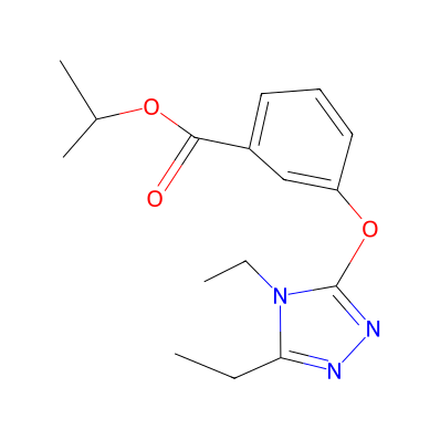 CCc1nnc(Oc2cccc(C(=O)OC(C)C)c2)n1CC